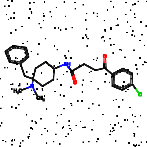 CN(C)C1(Cc2ccccc2)CCC(NC(=O)CCC(=O)c2ccc(Cl)cc2)CC1